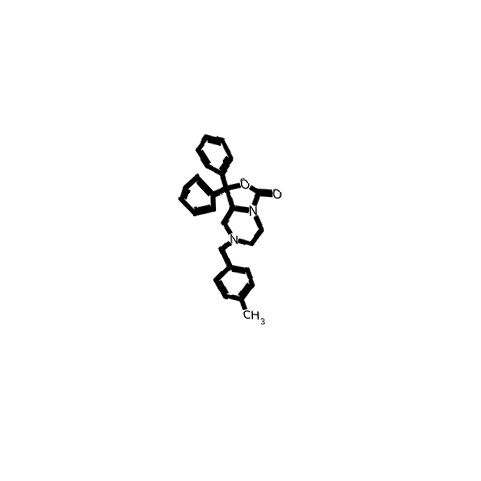 Cc1ccc(CN2CCN3C(=O)OC(c4ccccc4)(c4ccccc4)C3C2)cc1